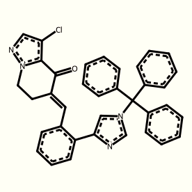 O=C1C(=Cc2ccccc2-c2cn(C(c3ccccc3)(c3ccccc3)c3ccccc3)cn2)CCn2ncc(Cl)c21